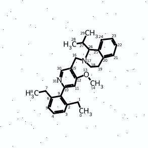 CCc1cccc(CC)c1-c1cc(OC)c(CN2CCc3ccccc3C2C(C)C)cn1